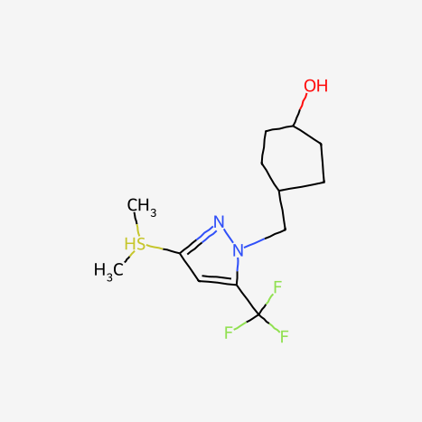 C[SH](C)c1cc(C(F)(F)F)n(CC2CCC(O)CC2)n1